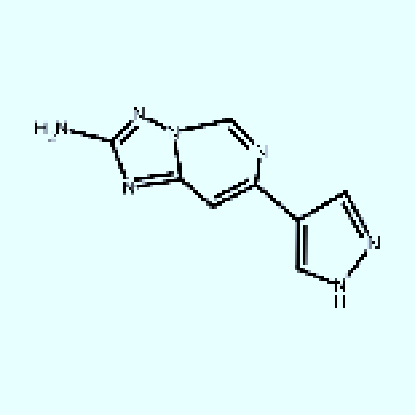 Nc1nc2cc(-c3cn[nH]c3)ncn2n1